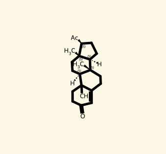 CC(=O)[C@H]1CC[C@@H]2[C@]1(C)CC[C@@H]1C3(C)CCC(=O)C=C3CC[C@@]21C